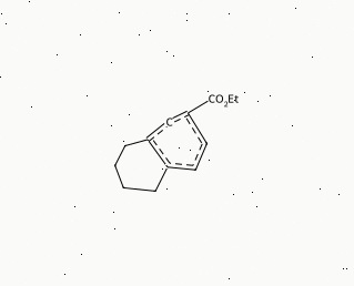 CCOC(=O)c1ccc2c(c1)CCCC2